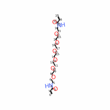 C=CC(=O)NCCOCCOCCOCCOCCOCCOCCNC(=O)C=C